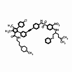 Cc1c(C(=O)NCCCN2CCN(C)CC2)c(-c2cccc(C#Cc3ccc(NS(=O)(=O)c4ccc(NC(CCN(C)C)CSc5ccccc5)c([N+](=O)[O-])c4)cc3)c2)c(-c2ccc(Cl)cc2)n1C